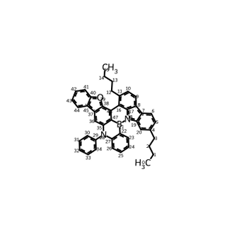 CCCCc1ccc2c3ccc(CCCC)c4c3n(c2c1)B1c2ccccc2N(c2ccccc2)c2cc3c(oc5ccccc53)c-4c21